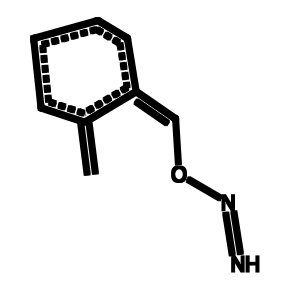 C=c1cccc/c1=C/ON=N